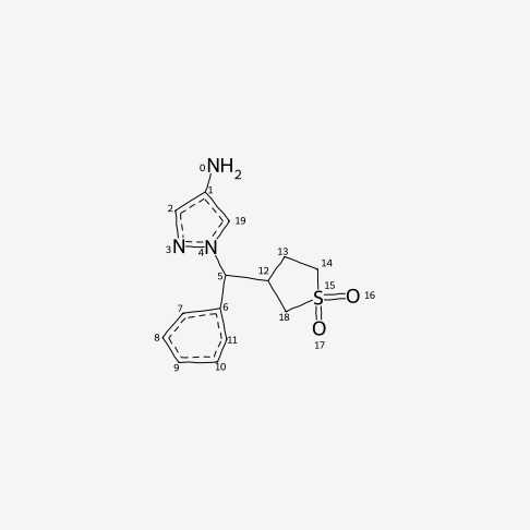 Nc1cnn(C(c2ccccc2)C2CCS(=O)(=O)C2)c1